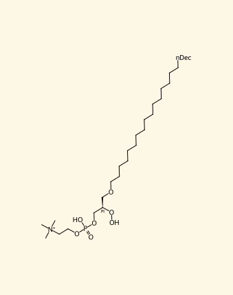 CCCCCCCCCCCCCCCCCCCCCCCCCCOC[C@H](COP(=O)(O)OCC[N+](C)(C)C)OO